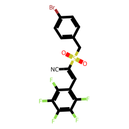 N#CC(=Cc1c(F)c(F)c(F)c(F)c1F)S(=O)(=O)Cc1ccc(Br)cc1